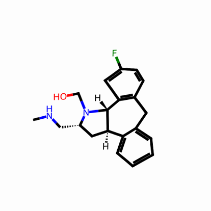 CNC[C@H]1C[C@@H]2c3ccccc3Cc3ccc(F)cc3[C@H]2N1CO